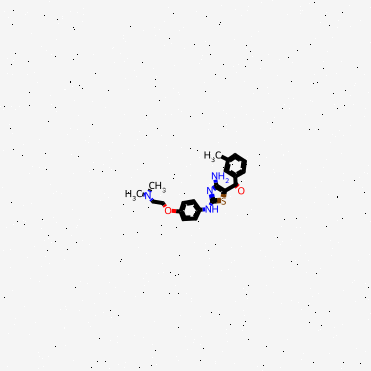 Cc1cccc(C(=O)c2sc(Nc3ccc(OCCN(C)C)cc3)nc2N)c1